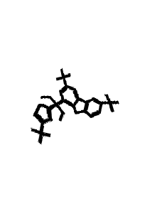 CCC(CC)(C1=CC(C(C)(C)C)=CC1)c1cc(C(C)(C)C)cc2c1Cc1ccc(C(C)(C)C)cc1-2